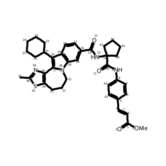 COC(=O)/C=C/c1ccc(NC(=O)C2(NC(=O)c3ccc4c(C5CCCCC5)c5n(c4c3)CCCc3sc(C)nc3-5)CCCC2)cc1